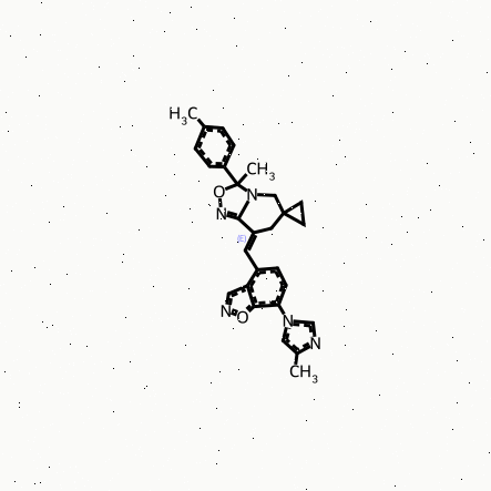 Cc1ccc(C2(C)ON=C3/C(=C/c4ccc(-n5cnc(C)c5)c5oncc45)CC4(CC4)CN32)cc1